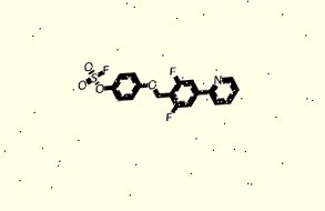 O=S(=O)(F)Oc1ccc(OCc2c(F)cc(-c3ccccn3)cc2F)cc1